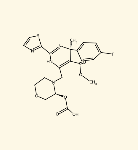 COC(=O)C1=C(CN2CCOC[C@@H]2OC(=O)O)NC(c2nccs2)=N[C@@]1(C)c1ccc(F)cc1